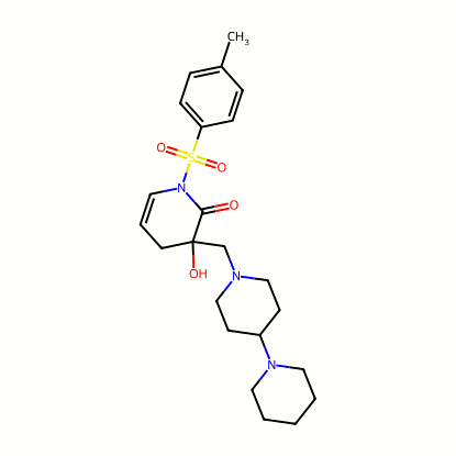 Cc1ccc(S(=O)(=O)N2C=CCC(O)(CN3CCC(N4CCCCC4)CC3)C2=O)cc1